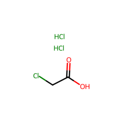 Cl.Cl.O=C(O)CCl